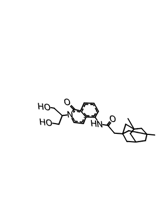 CC12CC3CC(C)(C1)CC(CC(=O)Nc1cccc4c(=O)n(C(CO)CO)ccc14)(C3)C2